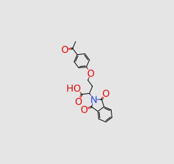 CC(=O)c1ccc(OCCC(C(=O)O)N2C(=O)c3ccccc3C2=O)cc1